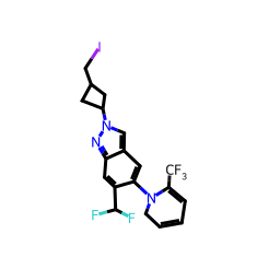 FC(F)c1cc2nn(C3CC(CI)C3)cc2cc1N1CC=CC=C1C(F)(F)F